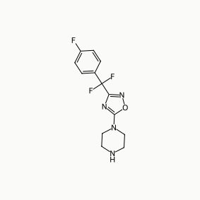 Fc1ccc(C(F)(F)c2noc(N3CCNCC3)n2)cc1